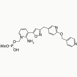 COP(O)OC[n+]1cccc(-c2cc(Cc3ccc(OCc4ccncc4)nc3)no2)c1N